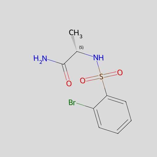 C[C@H](NS(=O)(=O)c1ccccc1Br)C(N)=O